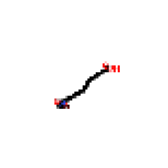 O=C(O)CCCCCCCCC#CC#CCCCCCCCCCCN1C(=O)CCC1=O